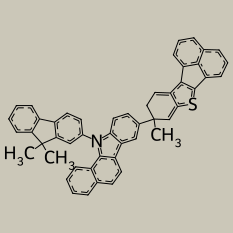 CC1(c2ccc3c(c2)c2ccc4ccccc4c2n3-c2ccc3c(c2)C(C)(C)c2ccccc2-3)C=c2sc3c(c2=CC1)-c1cccc2cccc-3c12